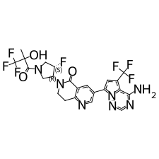 CC(O)(C(=O)N1C[C@@H](N2CCc3ncc(-c4cc(C(F)(F)F)c5c(N)ncnn45)cc3C2=O)[C@@H](F)C1)C(F)(F)F